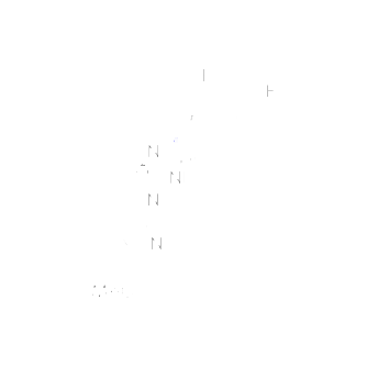 C=C(NC(=O)N1Cc2ccc(COC)nc2C1)/C(N)=C\C=C(/C)c1ccc(F)cc1F